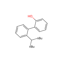 CCCCC(CCCC)c1ccccc1-c1ccccc1O